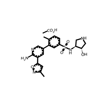 CC(=O)O.Cc1cc(-c2cc(-c3cc(S(=O)(=O)N[C@H]4CNC[C@@H]4O)ccc3C)cnc2N)on1